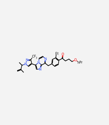 C=C(C)C(C)n1cc(-c2cnc3c(Cc4ccc(C(=O)CCCOCCC)c(CC)c4)nccn23)c(C(F)(F)F)n1